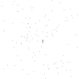 CNc1ccc(C(=O)/C=C/c2c(OC(C)C)ccc(C(C)(C)C)c2OC(C)C)cc1